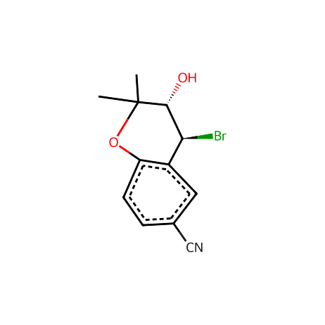 CC1(C)Oc2ccc(C#N)cc2[C@H](Br)[C@H]1O